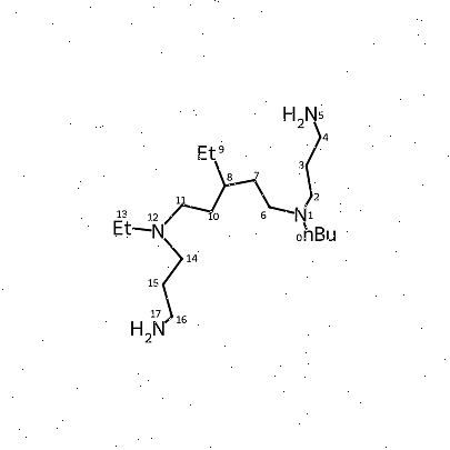 CCCCN(CCCN)CCC(CC)CCN(CC)CCCN